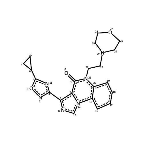 O=c1c2c(-c3noc(C4CC4)n3)ncn2c2ccccc2n1CCN1CCOCC1